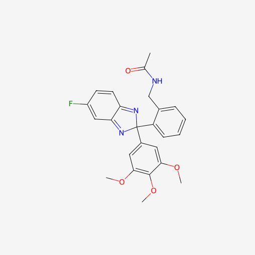 COc1cc(C2(c3ccccc3CNC(C)=O)N=c3ccc(F)cc3=N2)cc(OC)c1OC